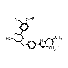 C=C(C)Cc1nc(-c2ccc(C[C@@H](CCO)NC(=O)c3ccc(OC(C)C)c(C#N)c3)cc2)cn1C